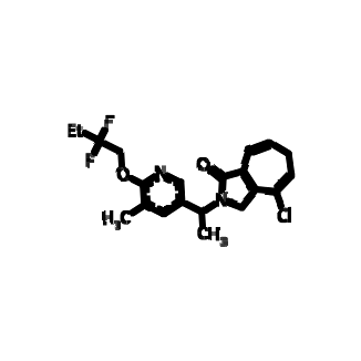 CCC(F)(F)COc1ncc(C(C)N2CC3=C(C=CCC=C3Cl)C2=O)cc1C